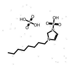 CCCCCCCCN1C=CN(S(=O)(=O)O)C1.O=S(=O)(O)O